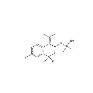 CC(C)=C1c2ccc(F)cc2C(F)(F)CC1O[Si](C)(C)C(C)(C)C